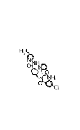 Cc1ccc(NC(=O)C2CCC(CN3C(=O)c4ccc(Cl)cc4NC(=O)[C@H]3Cc3ccccn3)CC2)nc1